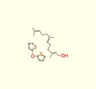 CC(C)=CCCC(C)=CCCC(C)=CCO.c1csc(Oc2cccs2)c1